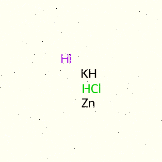 Cl.I.[KH].[Zn]